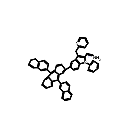 N/C=C\c1c(Cc2ccccn2)c2cc(-c3ccc4c(-c5ccc6c(c5)C=CCC6)c5ccccc5c(-c5ccc6ccccc6c5)c4c3)ccc2n1-c1ccccc1